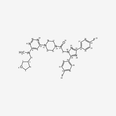 CN(CC1CCOC1)c1cc(N2CCN(C(=O)Cn3nc(-c4ccc(F)cc4)nc3-c3ccc(F)cc3)CC2)ncn1